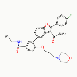 CNC(=O)c1c(-c2ccc(F)cc2)oc2ccc(-c3cc(C(=O)NCC(C)C)ccc3OCCCN3CCOCC3)cc12